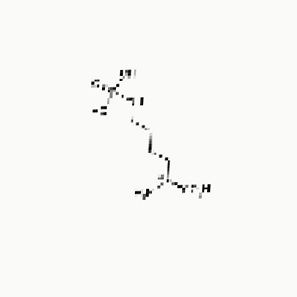 N[C@@H](CCCCNP(=O)(O)O)C(=O)O